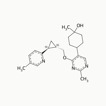 Cc1ccc([C@H]2C[C@@H]2COc2nc(C)ncc2C2CCC(C)(O)CC2)nc1